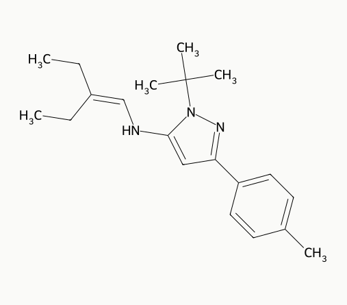 CCC(=CNc1cc(-c2ccc(C)cc2)nn1C(C)(C)C)CC